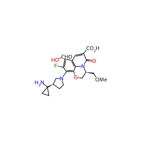 COC[C@H]1COc2c(N3CC[C@@H](C4(N)CC4)C3)c(F)cc3cc(C(=O)O)c(=O)n1c23.O=CO